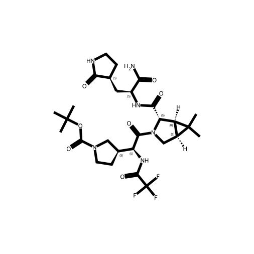 CC(C)(C)OC(=O)N1CC[C@H]([C@H](NC(=O)C(F)(F)F)C(=O)N2C[C@H]3[C@@H]([C@H]2C(=O)N[C@@H](C[C@@H]2CCNC2=O)C(N)=O)C3(C)C)C1